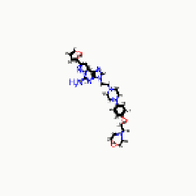 Nc1nc2c(ncn2CCN2CCN(c3ccc(OCCN4CCOCC4)cc3)CC2)c2cc(-c3ccco3)nn12